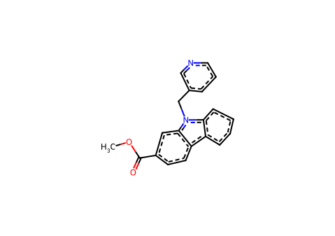 COC(=O)c1ccc2c3ccccc3n(Cc3cccnc3)c2c1